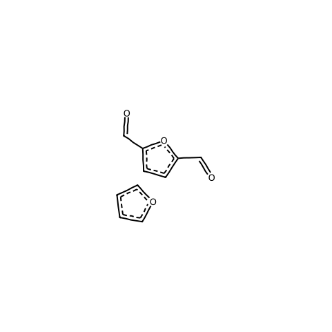 O=Cc1ccc(C=O)o1.c1ccoc1